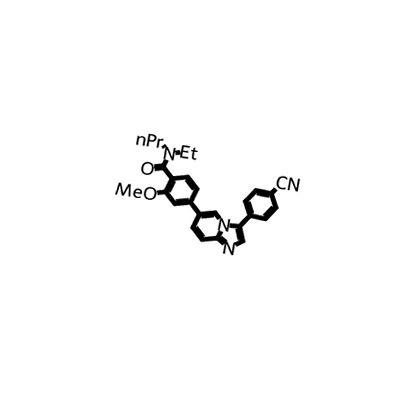 CCCN(CC)C(=O)c1ccc(-c2ccc3ncc(-c4ccc(C#N)cc4)n3c2)cc1OC